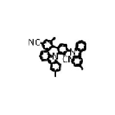 Cc1ccc2c(c1)c1ccccc1n2-c1ccc(-c2ccc(C#N)cc2C)c(-n2c3ccccc3c3cc(C)ccc32)c1C#N